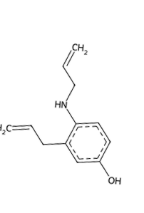 C=CCNc1ccc(O)cc1CC=C